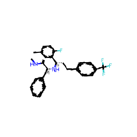 C=C(NC)[C@H](N[C@@H](CCc1ccc(C(F)(F)F)cc1)c1cc(C)ccc1F)c1ccccc1